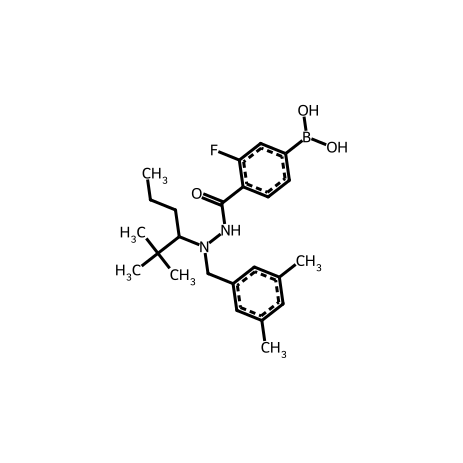 CCCC(N(Cc1cc(C)cc(C)c1)NC(=O)c1ccc(B(O)O)cc1F)C(C)(C)C